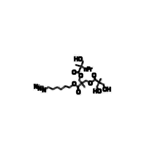 CCCC(C)(CO)C(=O)OCC(C)(COC(=O)C(C)(CO)CO)C(=O)OCCCCCCN=[N+]=[N-]